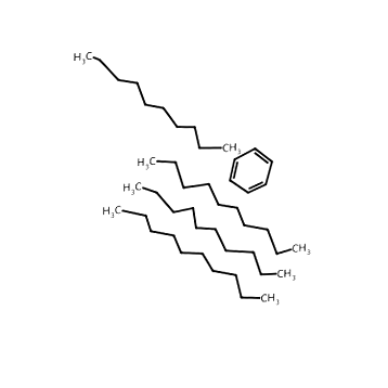 CCCCCCCCCC.CCCCCCCCCC.CCCCCCCCCC.CCCCCCCCCC.c1ccccc1